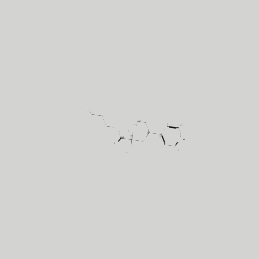 CCCCOC(=O)C(C)(C)CC(CC)c1ccncc1